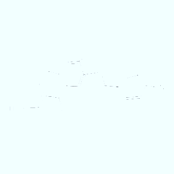 CC1c2cc(OCc3ccc(C#N)cc3)ccc2CCC1CC(=O)O